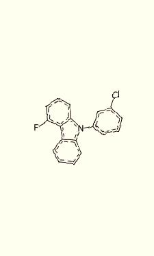 Fc1cccc2c1c1ccccc1n2-c1cccc(Cl)c1